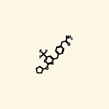 NC(=O)Cc1ccc(Cc2cc(C(F)(F)F)nc(OC3CCCC3)n2)cc1